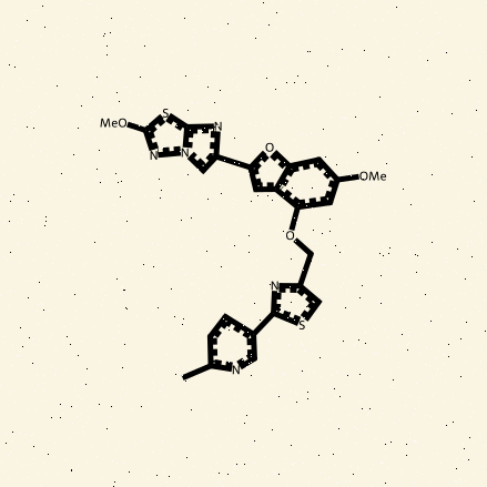 COc1cc(OCc2csc(-c3ccc(C)nc3)n2)c2cc(-c3cn4nc(OC)sc4n3)oc2c1